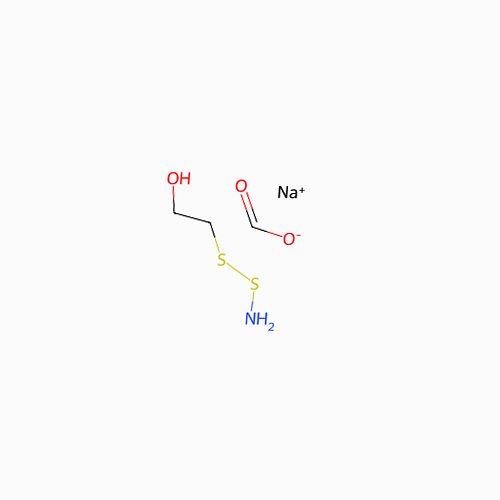 NSSCCO.O=C[O-].[Na+]